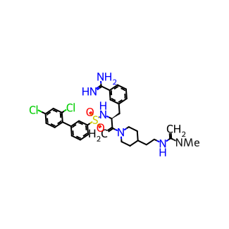 C=C(NC)NCCC1CCN(C(=C)[C@H](Cc2cccc(C(=N)N)c2)NS(=O)(=O)c2cccc(-c3ccc(Cl)cc3Cl)c2)CC1